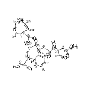 C=C1/C=C(C(=O)N[C@H]2CN(C(=O)CO)c3ccccc3N(CC(=O)N[C@H](C=O)CC(=O)O)C2=O)\C=C/CN/C=N\1